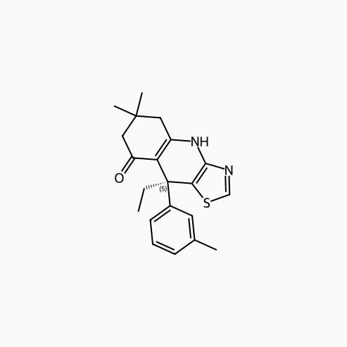 CC[C@]1(c2cccc(C)c2)C2=C(CC(C)(C)CC2=O)Nc2ncsc21